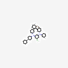 Brc1cc(N(c2ccccc2)c2ccc(-c3ccccc3)cc2)cc(N(c2ccccc2)c2ccc3sc4ccccc4c3c2)c1